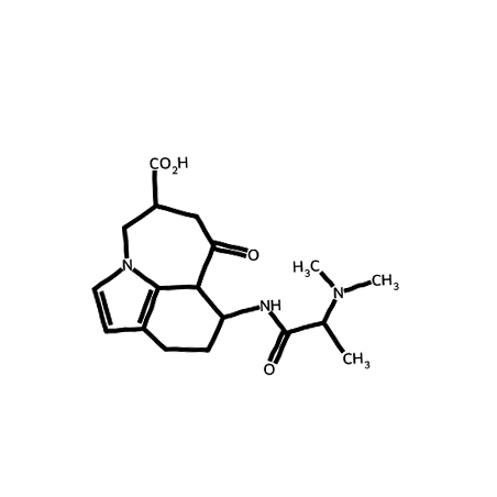 CC(C(=O)NC1CCc2ccn3c2C1C(=O)CC(C(=O)O)C3)N(C)C